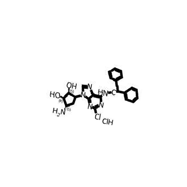 Cl.N[C@H]1CC(n2cnc3c(NCC(c4ccccc4)c4ccccc4)nc(Cl)nc32)[C@H](O)[C@@H]1O